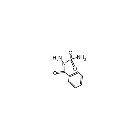 NN(C(=O)c1ccccc1)S(N)(=O)=O